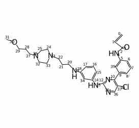 C=CC(=O)Nc1cccc(-c2nc(Nc3cccc(NCCCN4CCN(CCCOC)CC4)c3)ncc2Cl)c1